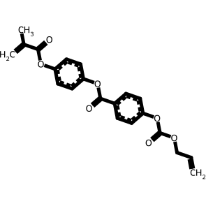 C=CCOC(=O)Oc1ccc(C(=O)Oc2ccc(OC(=O)C(=C)C)cc2)cc1